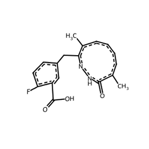 Cc1ccccc(C)c(=O)[nH]nc1Cc1ccc(F)c(C(=O)O)c1